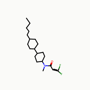 CCCCCC1CCC(C2CCC(N(C)C(=O)C=C(F)F)CC2)CC1